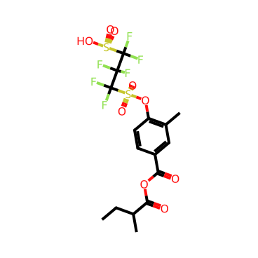 CCC(C)C(=O)OC(=O)c1ccc(OS(=O)(=O)C(F)(F)C(F)(F)C(F)(F)S(=O)(=O)O)c(C)c1